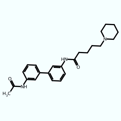 CC(=O)Nc1cccc(-c2cccc(NC(=O)CCCCN3CCCCC3)c2)c1